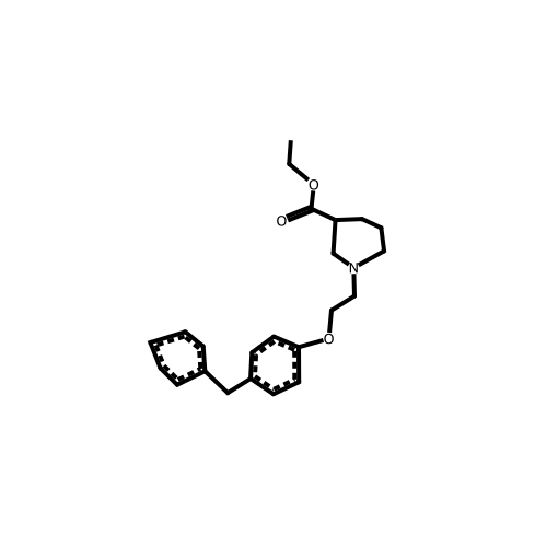 CCOC(=O)C1CCCN(CCOc2ccc(Cc3ccccc3)cc2)C1